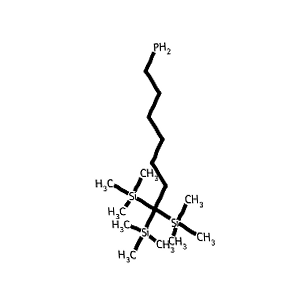 C[Si](C)(C)C(CCCCCCP)([Si](C)(C)C)[Si](C)(C)C